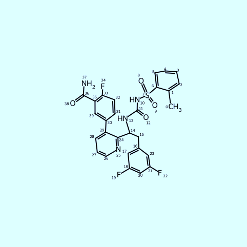 Cc1ccccc1S(=O)(=O)NC(=O)NC(Cc1cc(F)cc(F)c1)c1ncccc1-c1ccc(F)c(C(N)=O)c1